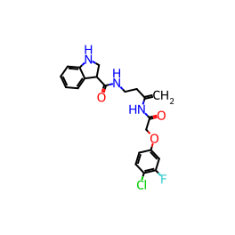 C=C(CCNC(=O)C1CNc2ccccc21)NC(=O)COc1ccc(Cl)c(F)c1